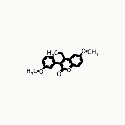 CCc1c(-c2cccc(OC)c2)c(=O)oc2ccc(OC)cc12